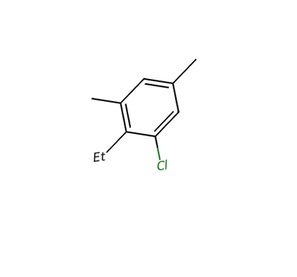 CCc1c(C)cc(C)cc1Cl